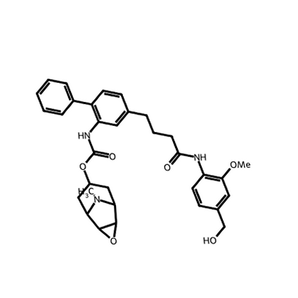 COc1cc(CO)ccc1NC(=O)CCCc1ccc(-c2ccccc2)c(NC(=O)OC2CC3C4OC4C(C2)N3C)c1